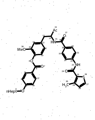 CCCCCCCOc1ccc(C(=O)Oc2ccc(CC(NC(=O)c3ccc(NC(=O)c4sccc4C)cc3)C(C)=O)cc2OC)cc1